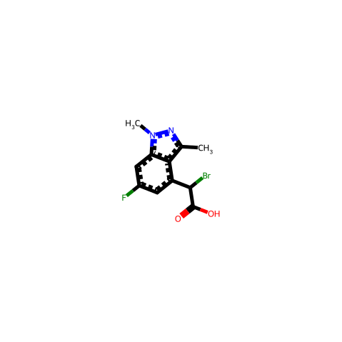 Cc1nn(C)c2cc(F)cc(C(Br)C(=O)O)c12